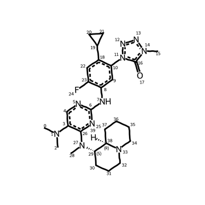 CN(C)c1cnc(Nc2cc(-n3nnn(C)c3=O)c(C3CC3)cc2F)nc1N(C)[C@H]1CCCN2CCCC[C@H]12